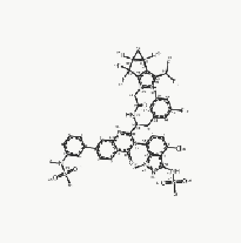 CN(c1cccc(-c2ccc3c(=O)n(-c4ccc(Cl)c5c(NS(C)(=O)=O)nn(C)c45)c([C@H](Cc4cc(F)cc(F)c4)NC(=O)Cn4nc(C(F)F)c5c4C(F)(F)[C@@H]4C[C@H]54)nc3c2)c1)S(C)(=O)=O